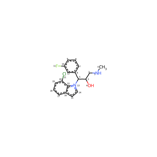 CNCC(O)C(c1cccc(F)c1)n1ccc2cccc(Cl)c21